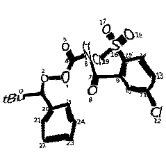 CC(C)(C)C(OOC(=O)NC(=O)c1cc(Cl)ccc1S(=O)(=O)Cl)c1ccccc1